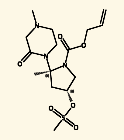 C=CCOC(=O)N1C[C@H](OS(C)(=O)=O)C[C@@]1(C)N1CCN(C)CC1=O